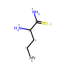 CCCCCC(N)C(N)=S